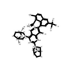 C#Cc1c(F)ccc2cc(C(F)(F)F)cc(-c3ncc4c(N5C[C@H]6CC[C@@H](C5)O6)nc(N5CC6CCC(C5)N6C)nc4c3F)c12